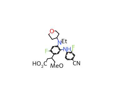 CCN(c1cc(F)c(C(COC)CC(=O)O)cc1Nc1ccc(C#N)cc1F)C1CCOCC1